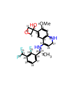 COc1cc2c(cc1C1(O)COC1)C(N[C@H](C)c1cccc(C(F)F)c1F)=CCN2